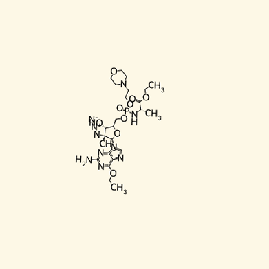 CCOC(=O)[C@H](C)NP(=O)(OCCN1CCOCC1)OC[C@H]1O[C@@H](n2cnc3c(OCC)nc(N)nc32)[C@](C)(N=[N+]=[N-])[C@@H]1O